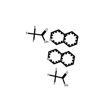 O=C(O)C(F)(F)F.O=C(O)C(F)(F)F.c1ccc2cnccc2c1.c1ccc2cnccc2c1